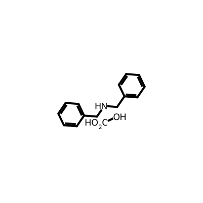 O=C(O)O.c1ccc(CNCc2ccccc2)cc1